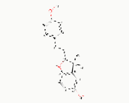 COc1ccc(CCC2Oc3ccc(O)cc3C2(C)C)cc1